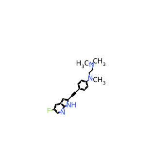 CN(C)CCN(C)c1ccc(C#Cc2cc3cc(F)cnc3[nH]2)cc1